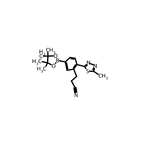 Cc1nnc(-c2ccc(B3OC(C)(C)C(C)(C)O3)cc2CCC#N)s1